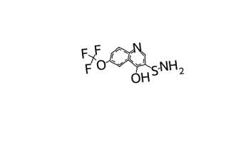 NSc1cnc2ccc(OC(F)(F)F)cc2c1O